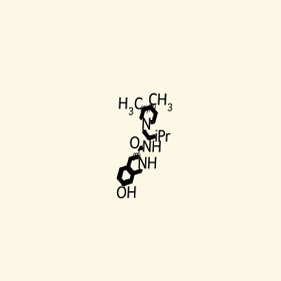 CC(C)C(CN1CC[C@@H](C)[C@H](C)C1)NC(=O)[C@H]1Cc2ccc(O)cc2CN1